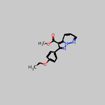 CCOc1ccc(-c2nn3ncccc3c2C(=O)OC)cc1